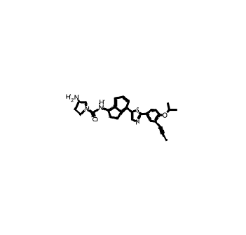 CC#Cc1cc(-c2ncc(-c3cccc4c3CCC4NC(=O)N3CCC(N)C3)s2)ccc1OC(C)C